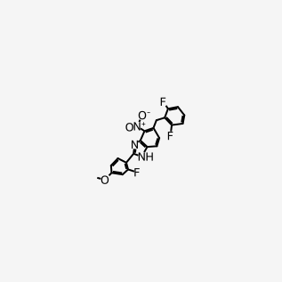 COc1ccc(-c2nc3c([N+](=O)[O-])c(Cc4c(F)cccc4F)ccc3[nH]2)c(F)c1